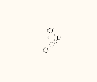 C=CCc1cccc(C)c1OCc1[nH]ncc1S(=O)(=O)N1CCN(c2ccc(OC)cc2)CC1